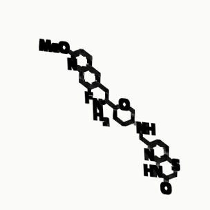 COc1ccc2cc(C[C@H](N)[C@@H]3CC[C@@H](NCc4ccc5c(n4)NC(=O)CS5)CO3)c(F)cc2n1